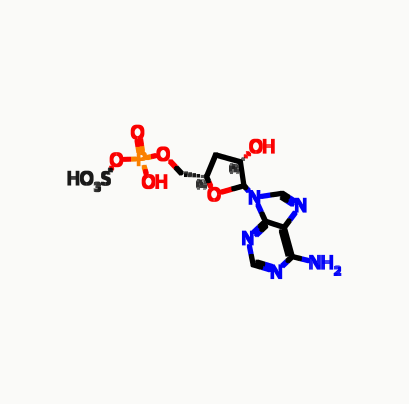 Nc1ncnc2c1ncn2C1O[C@H](COP(=O)(O)OS(=O)(=O)O)C[C@@H]1O